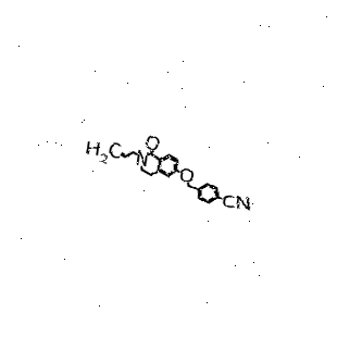 C=CCN1CCc2cc(OCc3ccc(C#N)cc3)ccc2C1=O